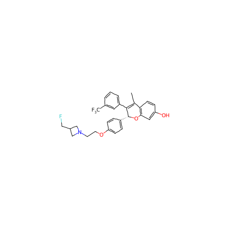 CC1=C(c2cccc(C(F)(F)F)c2)[C@@H](c2ccc(OCCN3CC(CF)C3)cc2)Oc2cc(O)ccc21